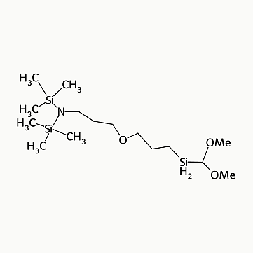 COC(OC)[SiH2]CCCOCCCN([Si](C)(C)C)[Si](C)(C)C